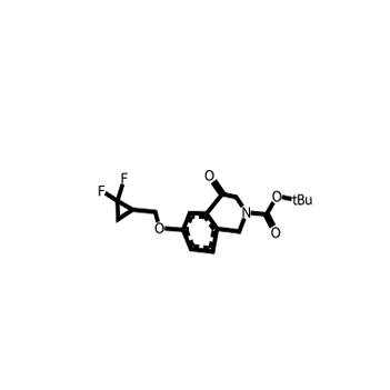 CC(C)(C)OC(=O)N1CC(=O)c2cc(OCC3CC3(F)F)ccc2C1